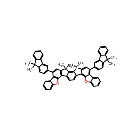 CC1(C)c2ccccc2-c2cc(-c3cc4c(c5oc6ccccc6c35)-c3ccc5c(c3[Si]4(C)C)[Si](C)(C)c3cc(-c4ccc6c(c4)-c4ccccc4C6(C)C)c4c(oc6ccccc64)c3-5)ccc21